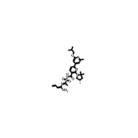 C=C/C=C(N)\N=C(/C)S(=O)(=O)NC(=O)c1ccc(-c2cc(C)nc(OCC(C)C)c2)nc1N1C[C@@H](C)CC1(C)C